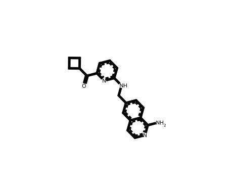 Nc1nccc2cc(CNc3cccc(C(=O)C4CCC4)n3)ccc12